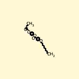 C=CCCCCCCCCOc1ccc(C(=O)Oc2ccc(OC[C@@H]3O[C@H]3CCC)cc2)cc1